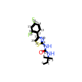 CCC(C)(C)NC(=O)Nc1nc(-c2ccc(F)cc2F)cs1